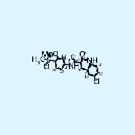 COc1cc(N[C@@H](C)c2cc3cc(Cl)ccc3[nH]c2=O)ccc1S(C)(=O)=O